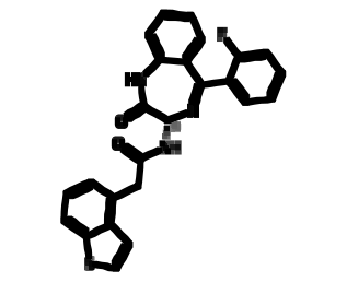 O=C(Cc1cccc2sccc12)N[C@H]1N=C(c2ccccc2F)c2ccccc2NC1=O